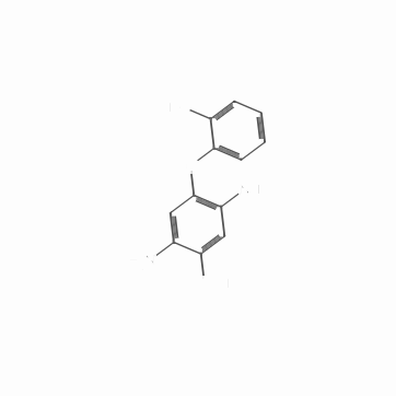 Cc1ccccc1Oc1cc(N)c(S(=O)(=O)O)cc1N